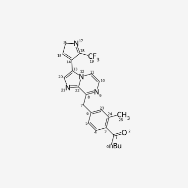 CCCCC(=O)c1ccc(Cc2nccn3c(C4=CCN=C4C(F)(F)F)cnc23)cc1C